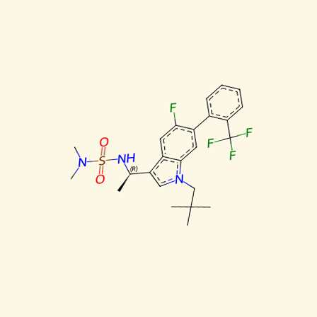 C[C@@H](NS(=O)(=O)N(C)C)c1cn(CC(C)(C)C)c2cc(-c3ccccc3C(F)(F)F)c(F)cc12